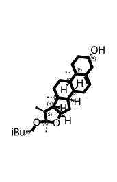 CC[C@@H](C)CO[C@]1(C)O[C@H]2C[C@H]3[C@@H]4CC=C5C[C@@H](O)CC[C@]5(C)[C@H]4CC[C@]3(C)[C@H]2[C@@H]1C